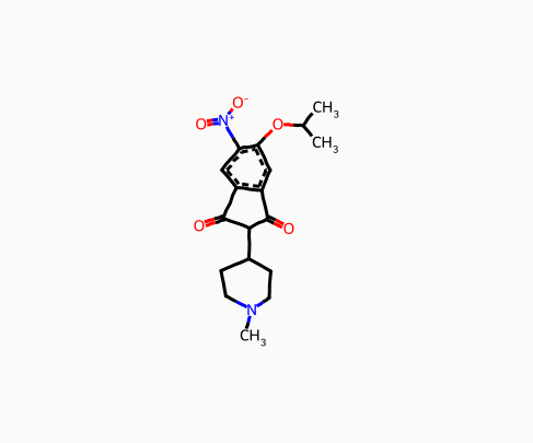 CC(C)Oc1cc2c(cc1[N+](=O)[O-])C(=O)C(C1CCN(C)CC1)C2=O